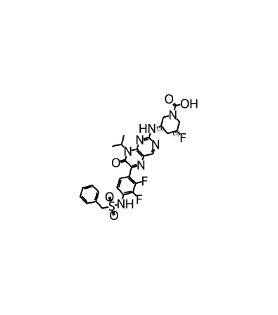 CC(C)n1c(=O)c(-c2ccc(NS(=O)(=O)Cc3ccccc3)c(F)c2F)nc2cnc(N[C@H]3C[C@H](F)CN(C(=O)O)C3)nc21